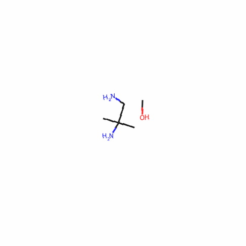 CC(C)(N)CN.CO